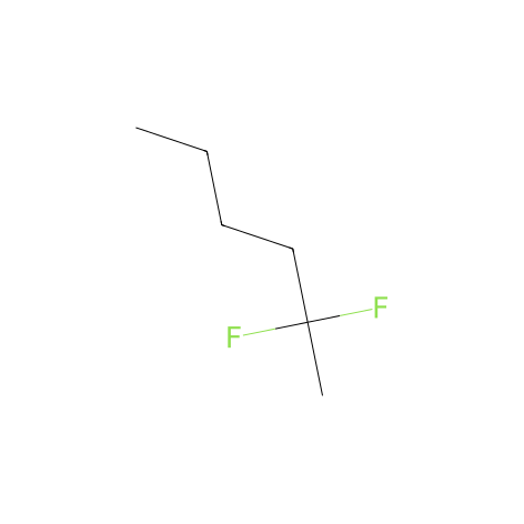 CCCCC(C)(F)F